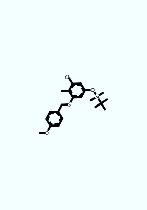 COc1ccc(CSc2cc(O[Si](C)(C)C(C)(C)C)cc(Cl)c2C)cc1